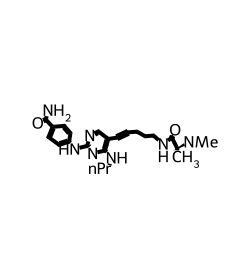 CCCNc1nc(Nc2ccc(C(N)=O)cc2)ncc1C#CCCCNC(=O)[C@H](C)NC